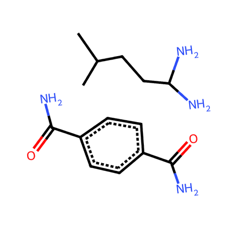 CC(C)CCC(N)N.NC(=O)c1ccc(C(N)=O)cc1